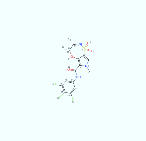 C[C@@H]1NS(=O)(=O)c2cn(C)c(C(=O)Nc3cc(F)c(F)c(F)c3)c2O[C@@H]1C